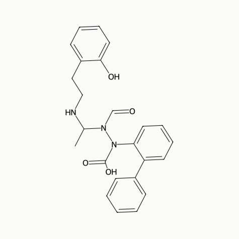 CC(NCCc1ccccc1O)N(C=O)N(C(=O)O)c1ccccc1-c1ccccc1